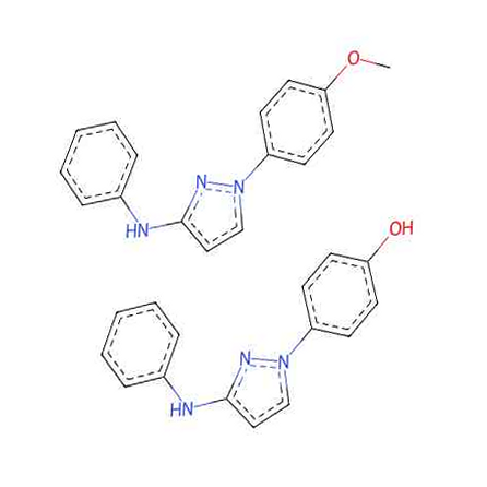 COc1ccc(-n2ccc(Nc3ccccc3)n2)cc1.Oc1ccc(-n2ccc(Nc3ccccc3)n2)cc1